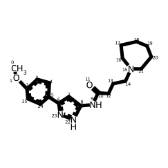 COc1ccc(-c2cc(NC(=O)CCCN3CCCCCC3)[nH]n2)cc1